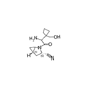 N#C[C@@H]1C[C@@H]2CC2N1C(=O)C(N)C1(CO)CCC1